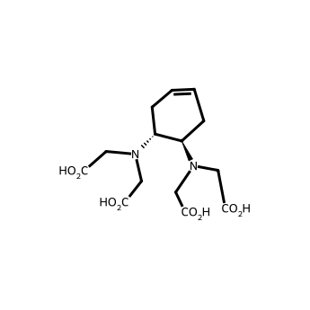 O=C(O)CN(CC(=O)O)[C@@H]1CC=CC[C@H]1N(CC(=O)O)CC(=O)O